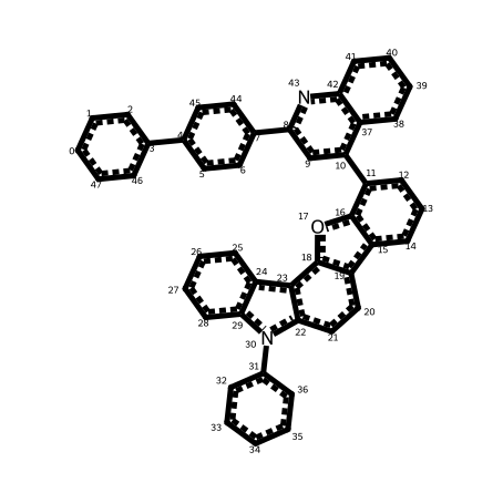 c1ccc(-c2ccc(-c3cc(-c4cccc5c4oc4c5ccc5c4c4ccccc4n5-c4ccccc4)c4ccccc4n3)cc2)cc1